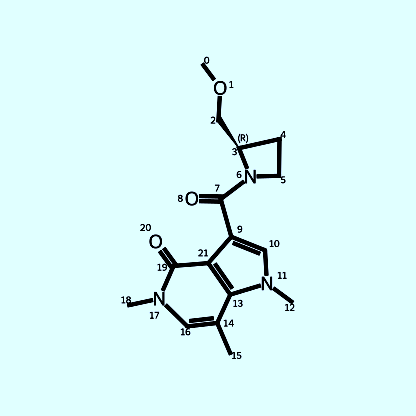 COC[C@H]1CCN1C(=O)c1cn(C)c2c(C)cn(C)c(=O)c12